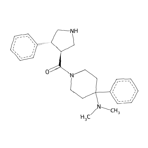 CN(C)C1(c2ccccc2)CCN(C(=O)[C@@H]2CNC[C@H]2c2ccccc2)CC1